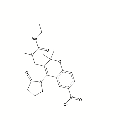 CCNC(=O)N(C)CC1=C(N2CCCC2=O)c2cc([N+](=O)[O-])ccc2OC1(C)C